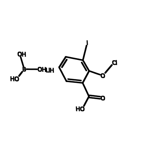 O=C(O)c1cccc(I)c1OCl.OB(O)O.[LiH]